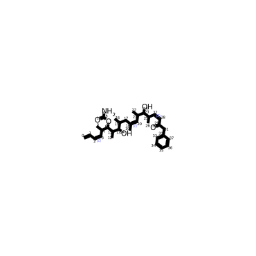 C=C/C=C\C(C)C(OC(N)=O)C(C)C(O)C(C)C/C(C)=C\C(C)C(O)C(C)/C=C\C(=O)Cc1ccccc1